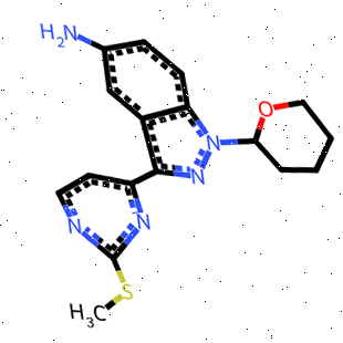 CSc1nccc(-c2nn(C3CCCCO3)c3ccc(N)cc23)n1